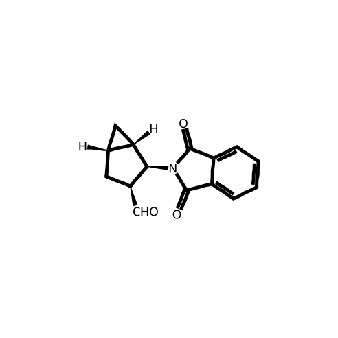 O=C[C@H]1C[C@@H]2C[C@@H]2[C@H]1N1C(=O)c2ccccc2C1=O